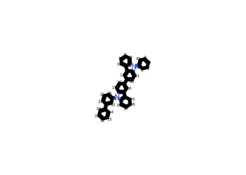 C1=CCCC(n2c3ccccc3c3cc(-c4ccc5c(c4)c4c(n5-c5cccc(-c6ccccc6)c5)C=CCC4)ccc32)=C1